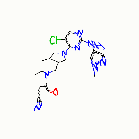 CCN(CC1CN(c2nc(Nc3cnn(C)c3)ncc2Cl)CC1C)C(=O)CC#N